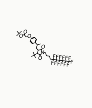 CC(CC1C(=O)N(CCCCC(F)(F)C(F)(F)C(F)(F)C(F)(F)C(F)(F)C(F)(F)F)C(=O)C1C(C)(C)C)c1ccc(OCC(=O)OC(C)(C)C)cc1